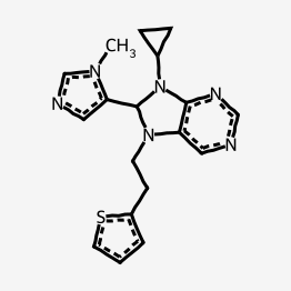 Cn1cncc1C1N(CCc2cccs2)c2cncnc2N1C1CC1